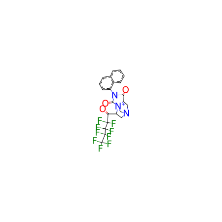 O=C1C2CN3CC(C(=O)C(F)(F)C(F)(F)C(F)(F)C(F)(F)F)[N+]2(C3)C(=O)N1c1cccc2ccccc12